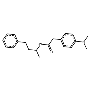 CC(CCc1ccccc1)NC(=O)Cc1ccc(N(C)C)cc1